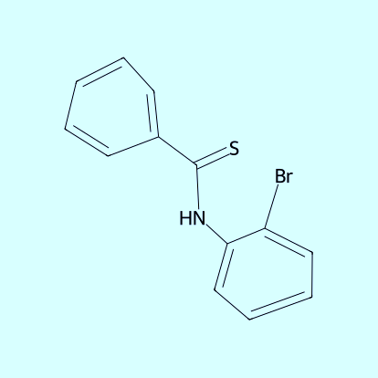 S=C(Nc1ccccc1Br)c1ccccc1